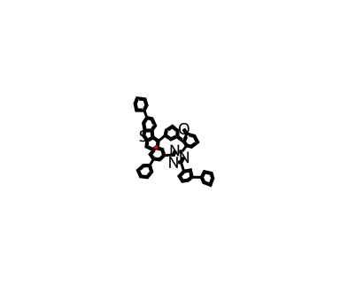 c1ccc(-c2cccc(-c3nc(-c4cccc(-c5ccccc5)c4)nc(-c4cccc5oc6ccc(-c7cccc8sc9cc(-c%10ccccc%10)ccc9c78)cc6c45)n3)c2)cc1